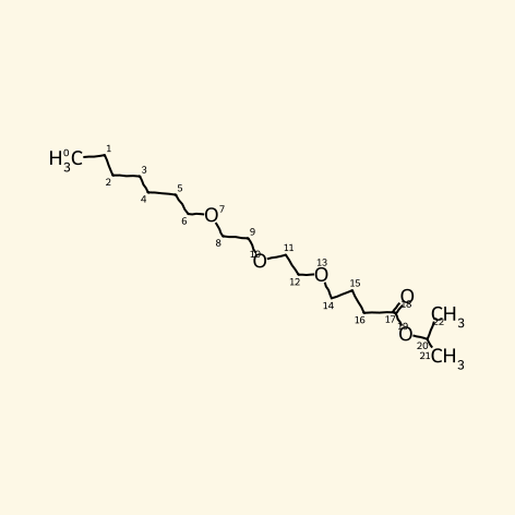 CCCCCCCOCCOCCOCCCC(=O)OC(C)C